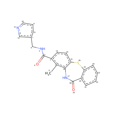 Cc1c(C(=O)NCc2cccnc2)ccc2c1NC(=O)c1ccccc1S2